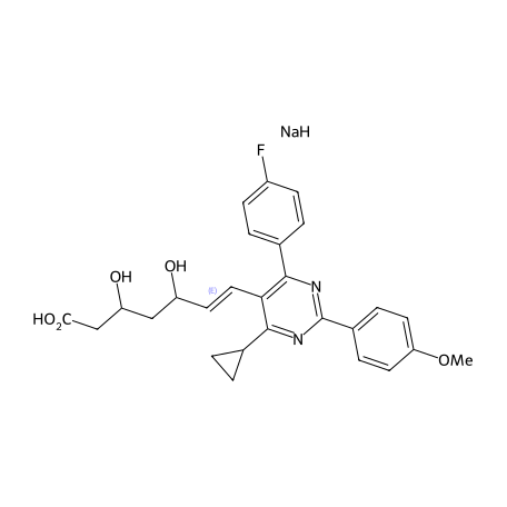 COc1ccc(-c2nc(-c3ccc(F)cc3)c(/C=C/C(O)CC(O)CC(=O)O)c(C3CC3)n2)cc1.[NaH]